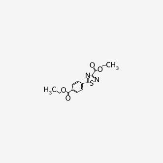 CCOC(=O)c1ccc(-c2nc(C(=O)OCC)ns2)cc1